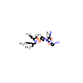 CCCCC(CC)CN(CC(CC)CCCC)S(=O)(=O)c1ccc(/N=N/C(=C(\O)Nc2cccc(N)c2)C(/C)=C(/C#N)C=O)cc1